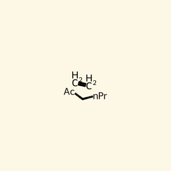 C=C.CCCCC(C)=O